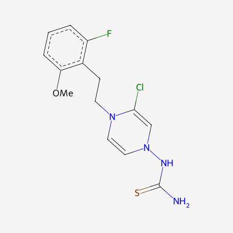 COc1cccc(F)c1CCN1C=CN(NC(N)=S)C=C1Cl